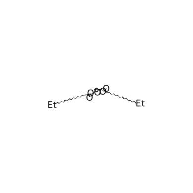 CC/C=C/C/C=C/C/C=C/CCCCCCCC(=O)OCc1ccc(COC(=O)CCCCCCC/C=C/C/C=C/C/C=C/CC)o1